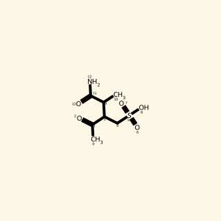 CC(=O)C(CS(=O)(=O)O)C(C)C(N)=O